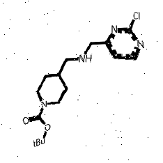 CC(C)(C)OC(=O)N1CCC(CNCc2ccnc(Cl)n2)CC1